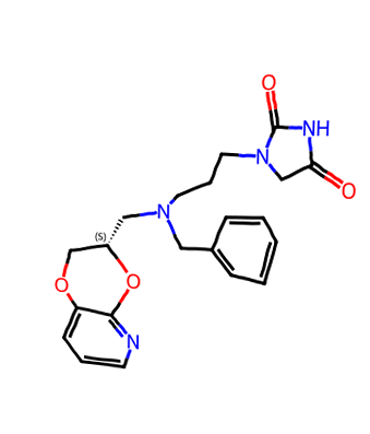 O=C1CN(CCCN(Cc2ccccc2)C[C@H]2COc3cccnc3O2)C(=O)N1